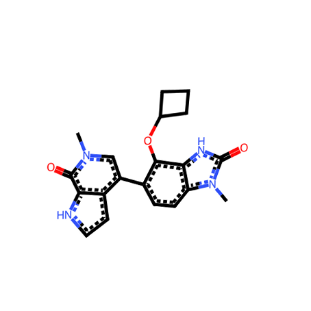 Cn1cc(-c2ccc3c([nH]c(=O)n3C)c2OC2CCC2)c2cc[nH]c2c1=O